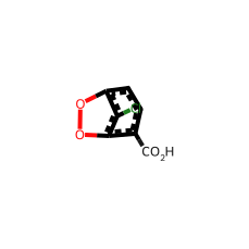 O=C(O)c1ccc2c(Cl)c1OO2